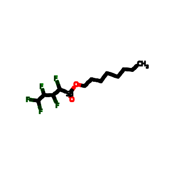 CCCCCCCC[O][Sn](=[O])[CH](F)C(F)C(F)C(F)F